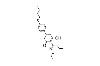 CCCCSc1ccc(C2CC(=O)C(C(CCC)=NOCC)=C(O)C2)cc1